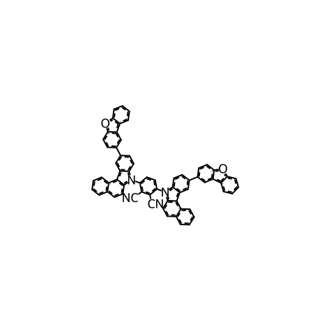 N#Cc1c(-n2c3ccc(-c4ccc5oc6ccccc6c5c4)cc3c3c4ccccc4ccc32)ccc(-n2c3ccc(-c4ccc5oc6ccccc6c5c4)cc3c3c4ccccc4ccc32)c1C#N